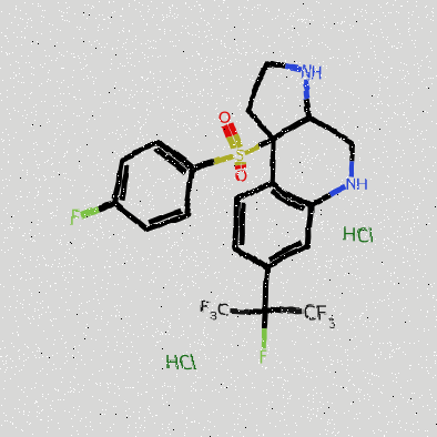 Cl.Cl.O=S(=O)(c1ccc(F)cc1)C12CCNC1CNc1cc(C(F)(C(F)(F)F)C(F)(F)F)ccc12